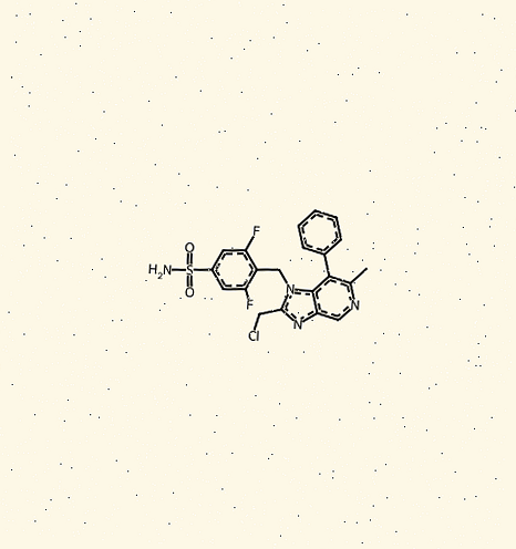 Cc1ncc2nc(CCl)n(Cc3c(F)cc(S(N)(=O)=O)cc3F)c2c1-c1ccccc1